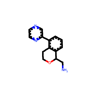 NCC1OCCc2c(-c3cnccn3)cccc21